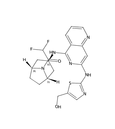 O=C(C(F)F)N1[C@@H]2CC[C@H]1C[C@H](Nc1nc(Nc3ncc(CO)s3)cc3ncccc13)C2